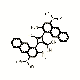 CCCN(CCC)c1cc(N)c(C2=C(O)C(c3c(N)cc(N(CCC)CCC)c4cc5ccccc5cc34)C2=C(C#N)C#N)c2cc3ccccc3cc12